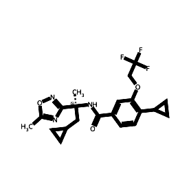 Cc1nc([C@](C)(CC2CC2)NC(=O)c2ccc(C3CC3)c(OCC(F)(F)F)c2)no1